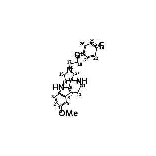 COc1ccc2[nH]c3c(c2c1)CCNC31CCN(CCOc2ccc(F)cc2)C1